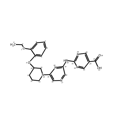 CCOc1ccccc1OC1CCCN(c2cncc(Nc3ncc(C(=O)O)cn3)n2)C1